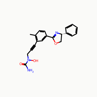 Cc1ccc(C2=N[C@H](c3ccccc3)CO2)cc1C#CCN(O)C(N)=O